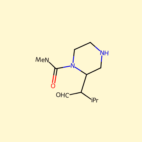 CNC(=O)N1CCNCC1C(C=O)C(C)C